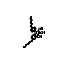 CCCCCCc1ccc(Oc2ccc(CCCCCC)cc2)cc1.OCC(O)CO